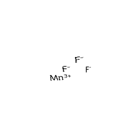 [F-].[F-].[F-].[Mn+3]